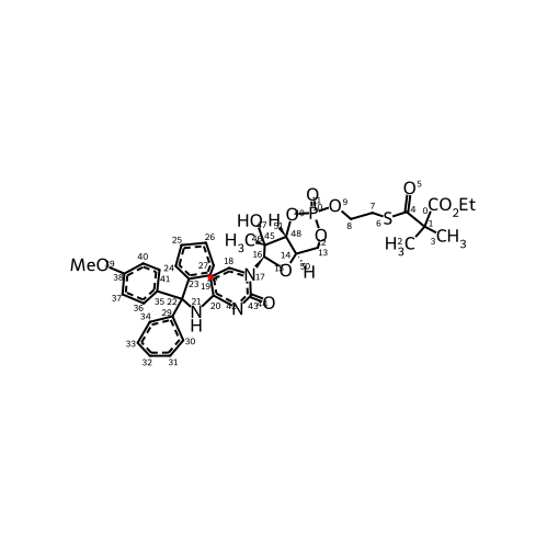 CCOC(=O)C(C)(C)C(=O)SCCOP1(=O)OC[C@H]2O[C@@H](n3ccc(NC(c4ccccc4)(c4ccccc4)c4ccc(OC)cc4)nc3=O)[C@](C)(O)[C@@H]2O1